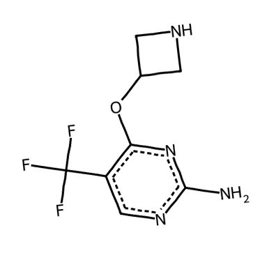 Nc1ncc(C(F)(F)F)c(OC2CNC2)n1